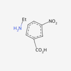 CCN.O=C(O)c1cccc([N+](=O)[O-])c1